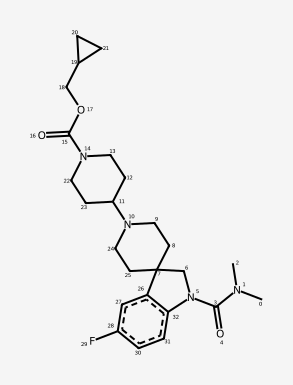 CN(C)C(=O)N1CC2(CCN(C3CCN(C(=O)OCC4CC4)CC3)CC2)c2cc(F)ccc21